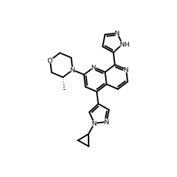 C[C@@H]1COCCN1c1cc(-c2cnn(C3CC3)c2)c2ccnc(-c3ccn[nH]3)c2n1